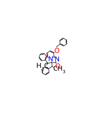 CC(c1ccccc1)C1(C(C)c2ccccc2)C(=O)N=C2C(OCc3ccccc3)=CC=CN21